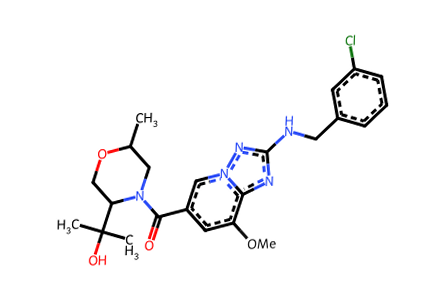 COc1cc(C(=O)N2CC(C)OCC2C(C)(C)O)cn2nc(NCc3cccc(Cl)c3)nc12